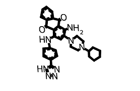 Nc1c(N2CCN(C3CCCCC3)CC2)cc(Nc2ccc(-c3nnn[nH]3)cc2)c2c1C(=O)c1ccccc1C2=O